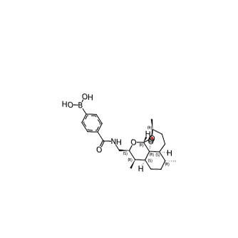 C[C@H]1[C@@H](CNC(=O)c2ccc(B(O)O)cc2)O[C@@H]2O[C@@]3(C)CC[C@H]4[C@H](C)CC[C@@H]1[C@@]24OO3